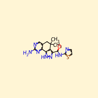 CC1(C)Cc2cnc(N)nc2-c2[nH]nc(C(=O)Nc3nccs3)c21